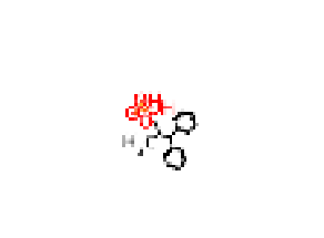 CC(COP(=O)(O)O)C(c1ccccc1)c1ccccc1